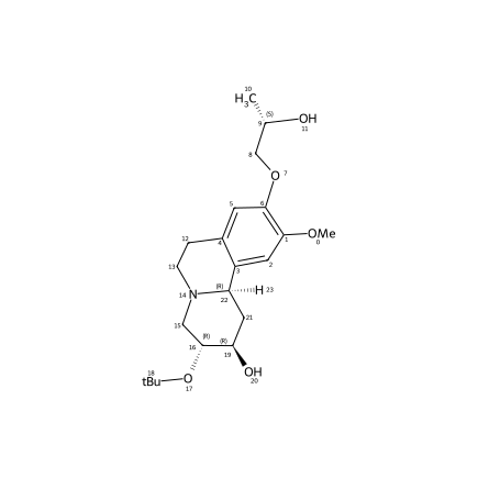 COc1cc2c(cc1OC[C@H](C)O)CCN1C[C@@H](OC(C)(C)C)[C@H](O)C[C@H]21